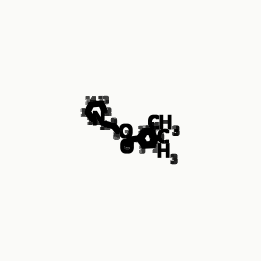 Cc1ccc(C(=O)OCCCN2CCCCC2)cc1C